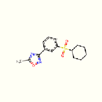 O=S(=O)(c1[c]ccc(-c2noc(C(F)(F)F)n2)c1)C1CCCCC1